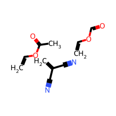 C=C(C#N)C#N.C=COC(C)=O.C=COC=O